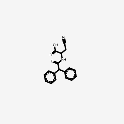 N#CCC(NC(=O)C(c1ccccc1)c1ccccc1)C(=O)O